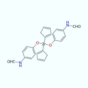 O=CNc1ccc([O][Zr]([O]c2ccc(NC=O)cc2)([C]2=CC=CC2)[C]2=CC=CC2)cc1